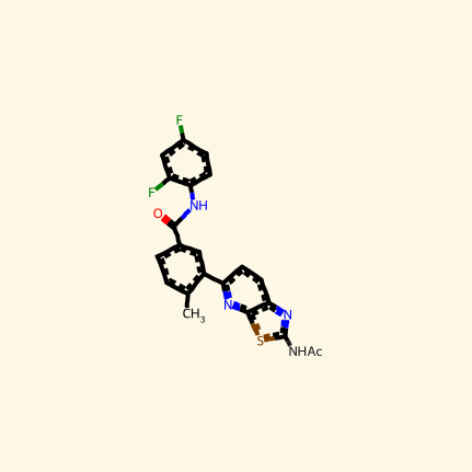 CC(=O)Nc1nc2ccc(-c3cc(C(=O)Nc4ccc(F)cc4F)ccc3C)nc2s1